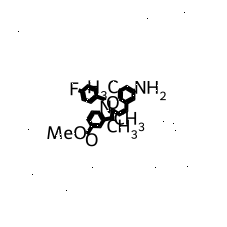 COC(=O)c1ccc2c(c1)C(C)(C)C1(C=Cc3cc(N)cc(C)c3O1)N2Cc1ccc(F)cc1